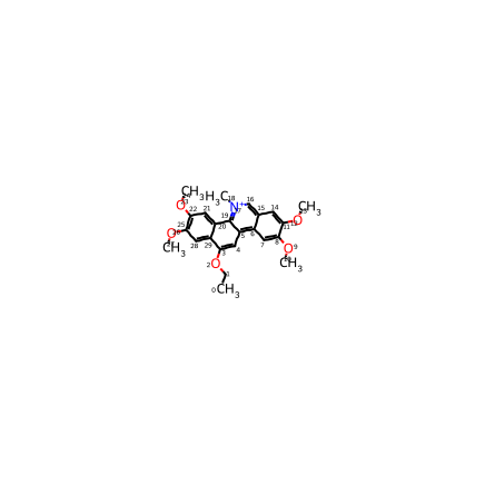 CCOc1cc2c3cc(OC)c(OC)cc3c[n+](C)c2c2cc(OC)c(OC)cc12